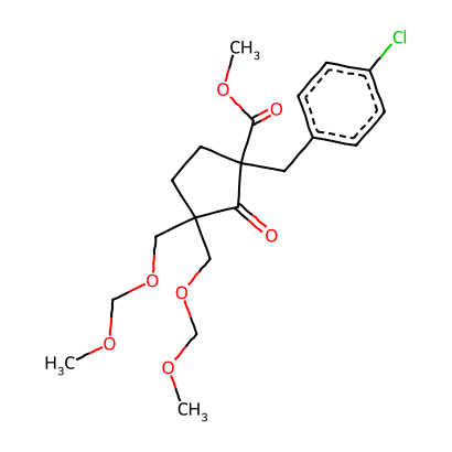 COCOCC1(COCOC)CCC(Cc2ccc(Cl)cc2)(C(=O)OC)C1=O